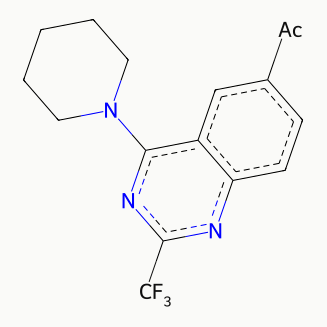 CC(=O)c1ccc2nc(C(F)(F)F)nc(N3CCCCC3)c2c1